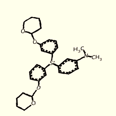 CN(C)c1cccc([S+](c2cccc(OC3CCCCO3)c2)c2cccc(OC3CCCCO3)c2)c1